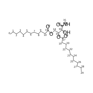 CCCCCCCCCCCC(=O)OCC(OC(=O)CCCCCCCCCCC)C(O)C(=O)NC